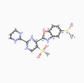 CCS(=O)(=O)c1cnc(-c2ncccn2)nc1-c1nc2cc([S+]([O-])C(F)(F)F)ccc2o1